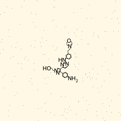 Nc1ccc(-c2nn(CCO)cc2-c2ccnc(Nc3cccc(CCN4CCOCC4)c3)n2)cc1